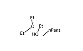 CCCCCC.CCO.CCOCC